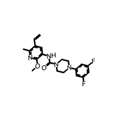 C=Cc1cc(NC(=O)N2CCN(c3cc(F)cc(F)c3)CC2)c(OC)nc1C